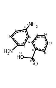 Nc1ccc(N)cc1.O=C(O)c1cc[c]cc1